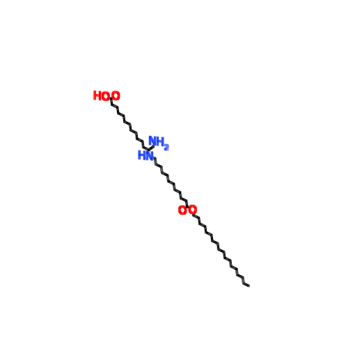 CCCCCCCCCCCCCCCCCCOC(=O)CCCCCCCCCCCNC(CN)CCCCCCCCCCCC(=O)O